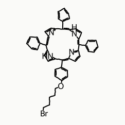 BrCCCCCOc1ccc(-c2c3nc(c(-c4ccccc4)c4ccc([nH]4)c(-c4ccccc4)c4nc(c(-c5ccccc5)c5ccc2[nH]5)C=C4)C=C3)cc1